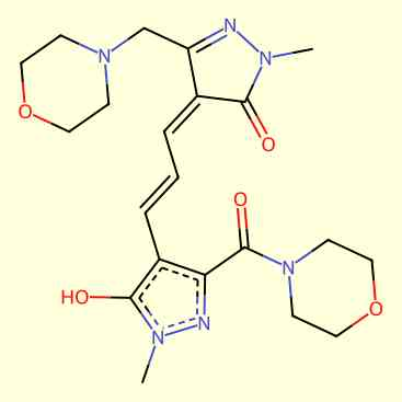 CN1N=C(CN2CCOCC2)/C(=C/C=Cc2c(C(=O)N3CCOCC3)nn(C)c2O)C1=O